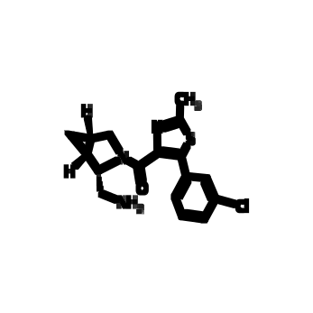 Cc1nc(C(=O)N2C[C@H]3C[C@H]3[C@H]2CN)c(-c2cccc(Cl)c2)s1